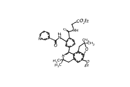 CCOC(=O)CNC(=O)c1ccc(C2=NC(C)(C)Cc3cc(OCC)c4c(c32)CC(C)(C)O4)cc1NC(=O)c1cccnc1